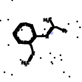 C=Nc1ccccc1/N=C(\C)C(C)C